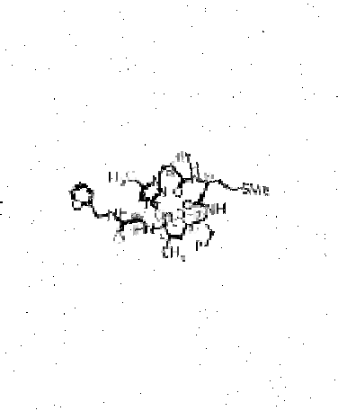 CSCC[C@H](NC(=O)[C@H](Cn1nc(C)cc1C)C(C)C)C(=O)N[C@@H](CC(C)C)[C@@H](O)C[C@@H](C)C(=O)N[C@H](C(=O)NCc1ccco1)C(C)C